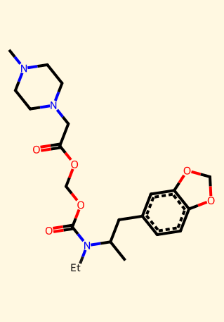 CCN(C(=O)OCOC(=O)CN1CCN(C)CC1)C(C)Cc1ccc2c(c1)OCO2